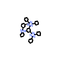 CC(C)C1=CC(c2nc3ccccc3n2-c2cc(-c3nc(-c4ccccc4)nc(-c4ccccc4)n3)cc(-c3nc(-c4ccccc4)nc(-c4ccccc4)n3)c2)CC=C1